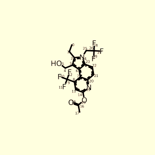 CCc1c(CO)c2c3c(C(F)(F)F)cc(OC(C)=O)nc3ccc2n1CC(F)(F)F